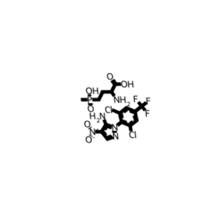 CP(=O)(O)CCC(N)C(=O)O.Nc1c([N+](=O)[O-])cnn1-c1c(Cl)cc(C(F)(F)F)cc1Cl